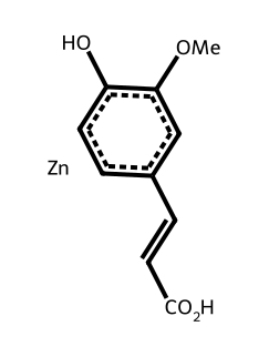 COc1cc(C=CC(=O)O)ccc1O.[Zn]